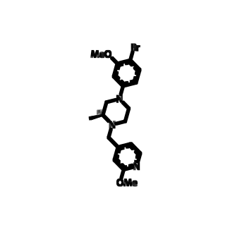 COc1cc(CN2CCN(c3ccc(Br)c(OC)c3)C[C@@H]2C)ccn1